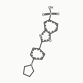 O=S(=O)(O)c1ccc2oc(-c3ccc(N4CCCC4)cc3)nc2c1